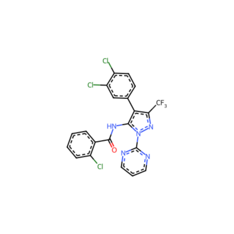 O=C(Nc1c(-c2ccc(Cl)c(Cl)c2)c(C(F)(F)F)nn1-c1ncccn1)c1ccccc1Cl